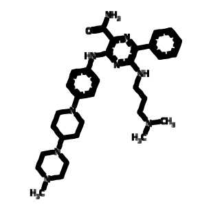 CN(C)CCCNc1nc(Nc2ccc(N3CCC(N4CCN(C)CC4)CC3)cc2)c(C(N)=O)nc1-c1ccccc1